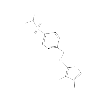 Cc1csc(NCc2ccc(S(=O)(=O)C(F)F)cc2)c1C